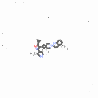 Cc1cncc(C)c1-c1noc(C2CC2)c1C1=CC2(CCN(c3ccc4c(C)cccc4n3)CC2)C1